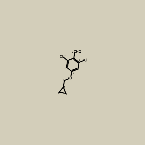 O=Cc1c(Cl)cc(OCC2CC2)cc1Cl